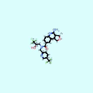 C[C@@H]1OCc2c1c(N)nc1ccc(C(=O)N(Cc3ccc(C(F)(F)F)cn3)C[C@@H](O)C(F)(F)F)cc21